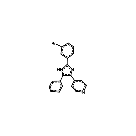 Brc1cccc(-c2nc(-c3ccncc3)c(-c3ccccc3)[nH]2)c1